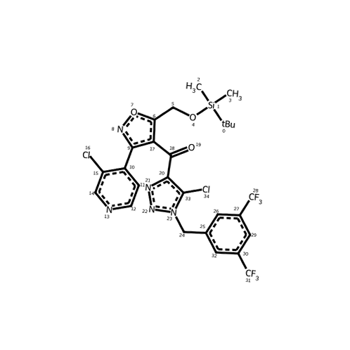 CC(C)(C)[Si](C)(C)OCc1onc(-c2ccncc2Cl)c1C(=O)c1nnn(Cc2cc(C(F)(F)F)cc(C(F)(F)F)c2)c1Cl